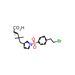 CC(C)(/C=C/C(=O)O)Cc1ccn(S(=O)(=O)c2ccc(CCBr)cc2)c1